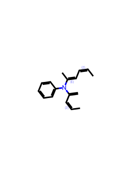 C=C(/C=C\C)N(/C(C)=C/C=C\C)c1ccccc1